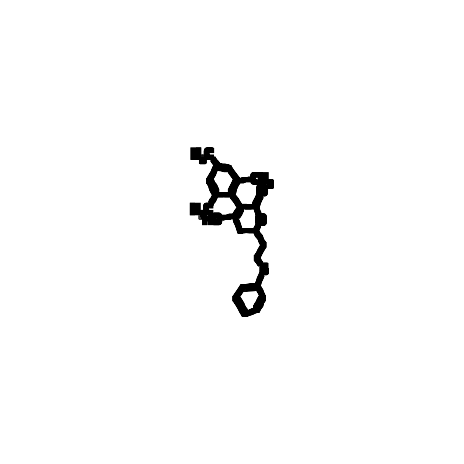 Cc1cc(C)c(C2=C(O)CC(CCSc3ccccc3)OC2=O)c(C)c1